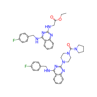 CCOC(=O)CNc1nc(NCc2ccc(F)cc2)c2ccccc2n1.O=C(N1CCCC1)N1CCN(c2nc(NCc3ccc(F)cc3)c3ccccc3n2)CC1